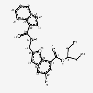 O=C(OC(CF)CF)c1cc(F)cc2cc(CNC(=O)c3cnn4cccnc34)oc12